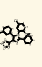 COc1ncc(Cl)cc1-n1c(-c2ccccc2)nc(-c2nn[nH]n2)c1-c1cccc(Cl)c1